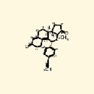 C#Cc1ccc([C@H]2C[C@]3(C)C(=O)CC[C@H]3[C@@H]3CCC4=CC(=O)CCC4=C32)cc1